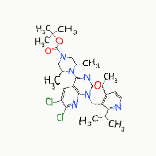 CCc1ccnc(C(C)C)c1Cn1c(=O)nc(N2[C@@H](C)CN(C(=O)OC(C)(C)C)C[C@@H]2C)c2cc(Cl)c(Cl)nc21